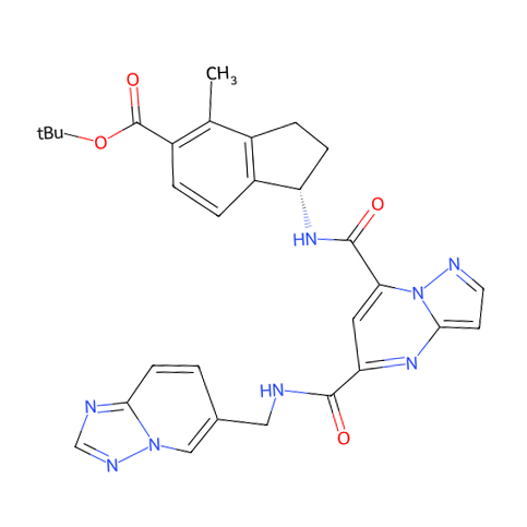 Cc1c(C(=O)OC(C)(C)C)ccc2c1CC[C@@H]2NC(=O)c1cc(C(=O)NCc2ccc3ncnn3c2)nc2ccnn12